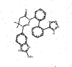 CCCCc1nc2cc(C3=NN(c4ccccc4-c4ccccc4-c4nnn[nH]4)C(=O)CC3(C)C)ccc2[nH]1